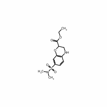 CCOC(=O)C1CNc2ccc(S(=O)(=O)N(C)C)cc2O1